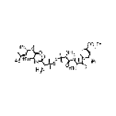 CCOC(=O)/C(C)=C/[C@H](C(C)C)N(C)C(=O)[C@@H](NC(=O)[C@@H](N)C(C)(C)SSC(C)(C)[C@H](N)C(=O)N[C@H](C(=O)N(C)[C@H](/C=C(\C)C(C)=O)C(C)C)C(C)(C)C)C(C)(C)C